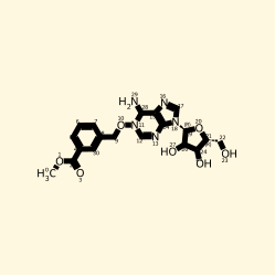 COC(=O)c1cccc(CON2C=Nc3c(ncn3[C@@H]3O[C@H](CO)C(O)C3O)C2N)c1